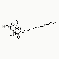 CCCCCCCCCCCCCCCC(=O)N(CC)[C@@H](CC(=O)O)C(=O)OCC